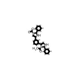 CC(=O)N1C=C(c2cccc(C3=CNC(c4ccccc4)N3C(C)=O)c2)NC1c1ccccc1